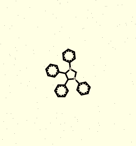 [C]1N(c2ccccc2)C(c2ccccc2)C(c2ccccc2)N1c1ccccc1